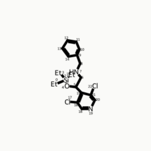 CC[Si](CC)(CC)OC(CNCc1ccccc1)c1c(Cl)cncc1Cl